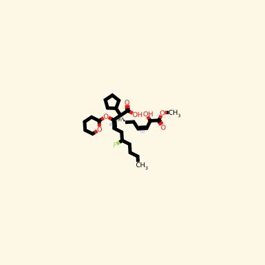 CCCCC(F)C/C=C(/OC1CCCCO1)[C@](CC/C=C\C(O)C(=O)OC)(C(=O)O)C1CCCC1